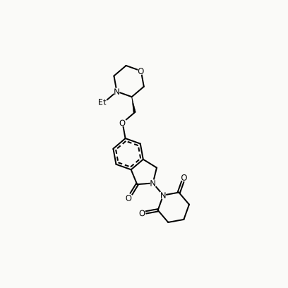 CCN1CCOC[C@H]1COc1ccc2c(c1)CN(N1C(=O)CCCC1=O)C2=O